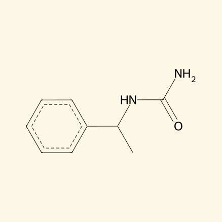 CC(NC(N)=O)c1ccccc1